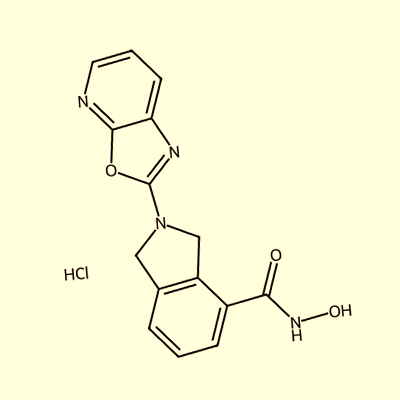 Cl.O=C(NO)c1cccc2c1CN(c1nc3cccnc3o1)C2